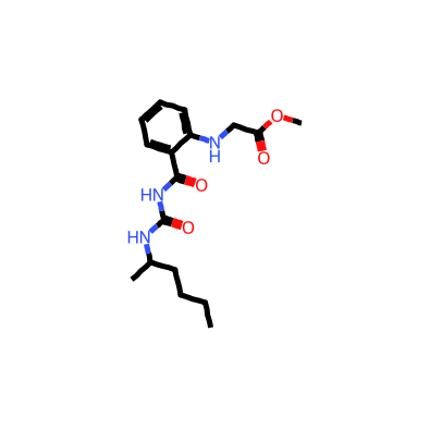 CCCCC(C)NC(=O)NC(=O)c1ccccc1NCC(=O)OC